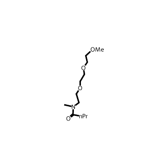 CCCC(=O)N(C)CCOCCOCCOC